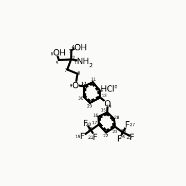 Cl.NC(CO)(CO)CCOc1ccc(Oc2cc(C(F)(F)F)cc(C(F)(F)F)c2)cc1